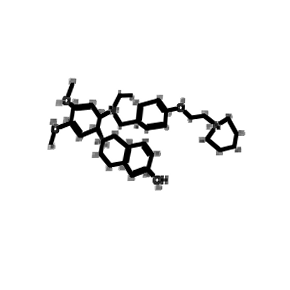 CCN(Cc1ccc(OCCN2CCCCC2)cc1)C1C=C(OC)C(OC)=CC1[C@@H]1CCc2cc(O)ccc2C1